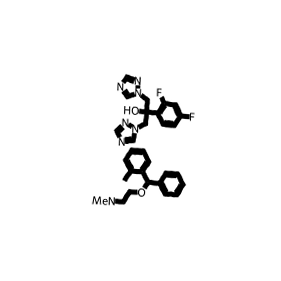 CNCCOC(c1ccccc1)c1ccccc1C.OC(Cn1cncn1)(Cn1cncn1)c1ccc(F)cc1F